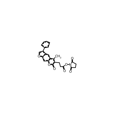 Cc1c(CCC(=O)ON2C(=O)CCC2=O)c(=O)oc2cc3occ(-c4ccccc4)c3cc12